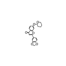 O=c1cc(-c2ccc3c(c2)OCO3)oc2cc(OC3CCCCO3)ccc12